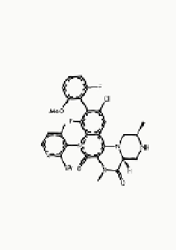 COc1cccc(F)c1-c1c(Cl)cc2c3c(c(=O)n(-c4c(C)ccnc4C(C)C)c2c1F)N(C)C(=O)[C@H]1CN[C@H](C)CN31